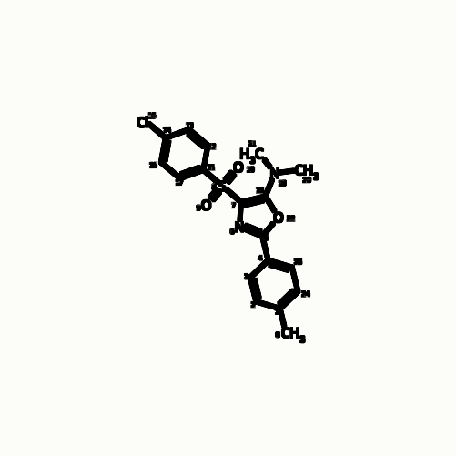 Cc1ccc(-c2nc(S(=O)(=O)c3ccc(Cl)cc3)c(N(C)C)o2)cc1